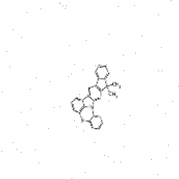 CC1(C)c2ccccc2-c2cc3c4cccc5c4n(c3cc21)-c1ccccc1S5